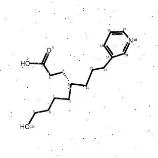 O=C(O)CC[C@@H](CCCCO)CCCc1cccnc1